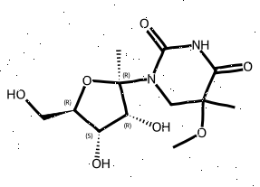 COC1(C)CN([C@]2(C)O[C@H](CO)[C@@H](O)[C@H]2O)C(=O)NC1=O